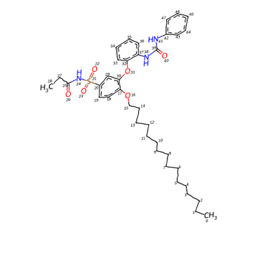 CCCCCCCCCCCCCCCCOc1ccc(S(=O)(=O)NC(=O)CC)cc1Oc1ccccc1NC(=O)Nc1ccccc1